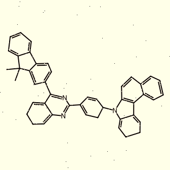 CC1(C)c2ccccc2-c2ccc(-c3nc(C4=CCC(n5c6c(c7c8ccccc8ccc75)=CCCC=6)C=C4)nc4c3=CCCC=4)cc21